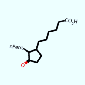 CCCCCC1C(=O)CCC1CCCCCC(=O)O